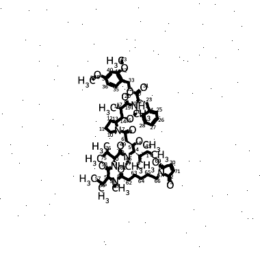 CCC(C)[C@@H]([C@@H](CC(=O)N1CCCC1[C@H](OC)[C@@H](C)C(=O)N[C@@H](Cc1ccccc1)C(=O)OCc1ccc(OC)cc1OC)OC)N(C)C(=O)[C@@H](NC(=O)C(C(C)C)N(C)C(=O)CCCCCN1C(=O)C=CC1=O)C(C)C